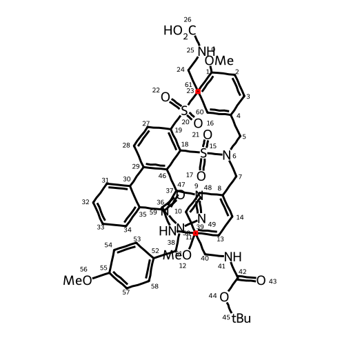 COc1ccc(CN(Cc2ccc(OC)cc2)S(=O)(=O)c2c(S(=O)(=O)CCNC(=O)O)ccc(-c3ccccc3C(=O)NCCNC(=O)OC(C)(C)C)c2-c2nnn(Cc3ccc(OC)cc3)n2)cc1